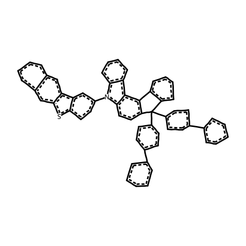 c1ccc(-c2ccc(C3(c4ccc(-c5ccccc5)cc4)c4ccccc4-c4c3ccc3c4c4ccccc4n3-c3ccc4sc5cc6ccccc6cc5c4c3)cc2)cc1